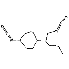 CCCC(CN=C=O)C1CCC(N=C=O)CC1